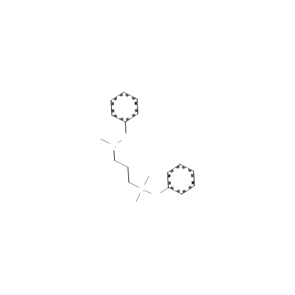 C[SiH](CCC[Si](C)(C)Oc1ccccc1)Oc1ccccc1